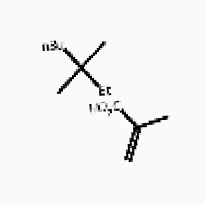 C=C(C)C(=O)O.CCCCC(C)(C)CC